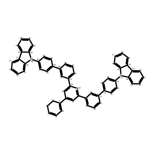 C1=CCCC(c2cc(-c3cccc(-c4ccc(-n5c6ccccc6c6ccccc65)cc4)c3)nc(-c3cccc(-c4ccc(-n5c6ccccc6c6ccccc65)cc4)c3)c2)=C1